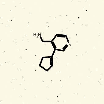 NCc1ccncc1C1=CCCC1